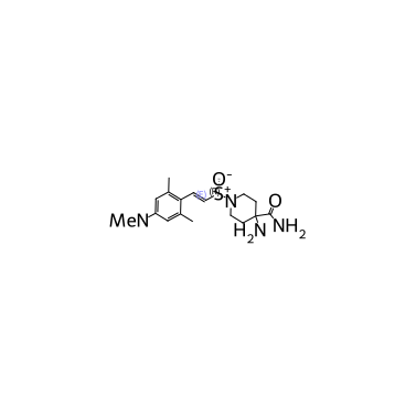 CNc1cc(C)c(/C=C/[S@+]([O-])N2CCC(N)(C(N)=O)CC2)c(C)c1